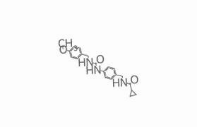 COc1ccc(CNC(=O)Nc2ccc(CNC(=O)C3CC3)cc2)cc1